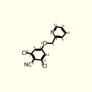 N#Cc1c(Cl)cc(OCc2ccccn2)cc1Cl